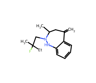 C=C1CC(C)N(CC(C)(F)CC)Nc2ccccc21